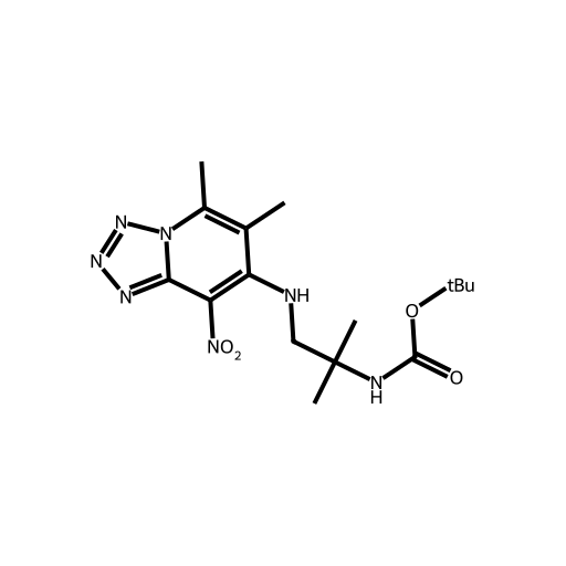 Cc1c(NCC(C)(C)NC(=O)OC(C)(C)C)c([N+](=O)[O-])c2nnnn2c1C